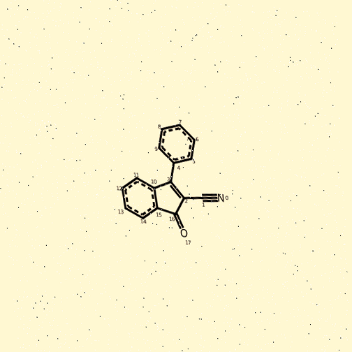 N#CC1=C(c2ccccc2)c2ccccc2C1=O